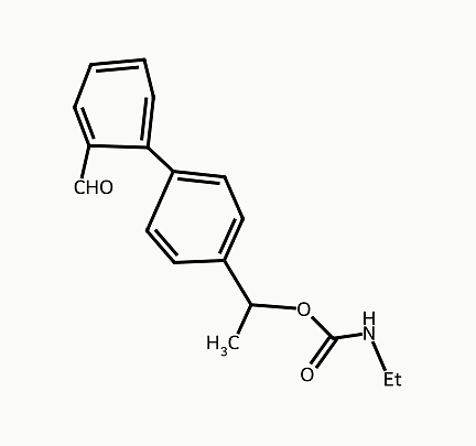 CCNC(=O)OC(C)c1ccc(-c2ccccc2C=O)cc1